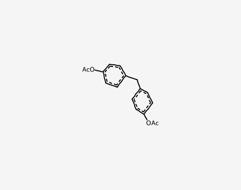 CC(=O)Oc1ccc(Cc2ccc(OC(C)=O)cc2)cc1